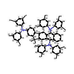 Cc1cc(C)cc(N(c2cc(C)cc(C)c2)c2ccc3c(c2)C(C)(C)c2cc4c(N(c5cc(C)cc(C)c5)c5cc(C)cc(C)c5)c5ccccc5c(N(c5cc(C)cc(C)c5)c5cc(C)cc(C)c5)c4cc2-3)c1